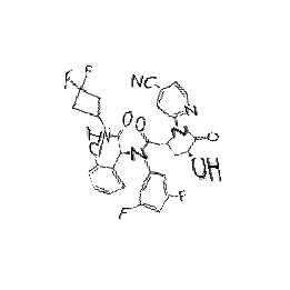 N#Cc1ccnc(N2C(=O)[C@@H](O)C[C@H]2C(=O)N(c2cc(F)cc(F)c2)[C@H](C(=O)NC2CC(F)(F)C2)c2ccccc2Cl)c1